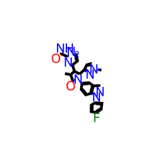 CC1C(=O)N(c2ccc3c(cnn3-c3ccc(F)cc3)c2)C(c2ccn(C)n2)C1c1ccnc(C(N)=O)n1